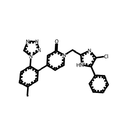 Cc1ccc(-n2cnnn2)c(-c2ccn(Cc3nc(Cl)c(-c4cc[c]cc4)[nH]3)c(=O)c2)c1